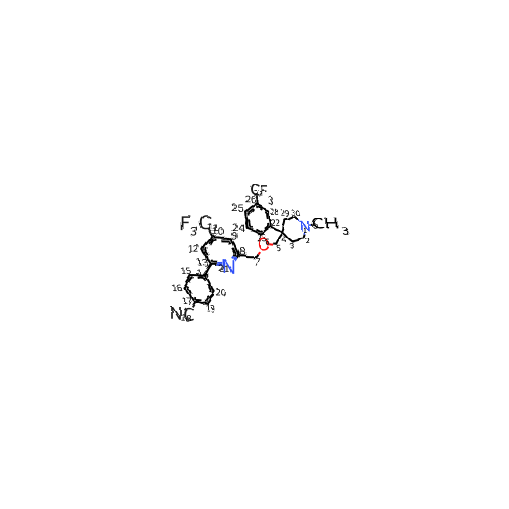 CN1CCC(COCc2cc(C(F)(F)F)cc(-c3ccc(C#N)cc3)n2)(c2cccc(C(F)(F)F)c2)CC1